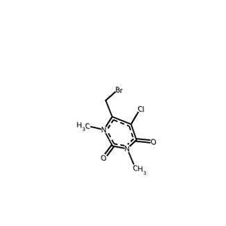 Cn1c(CBr)c(Cl)c(=O)n(C)c1=O